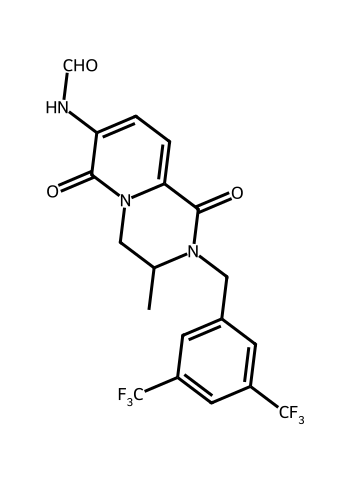 CC1Cn2c(ccc(NC=O)c2=O)C(=O)N1Cc1cc(C(F)(F)F)cc(C(F)(F)F)c1